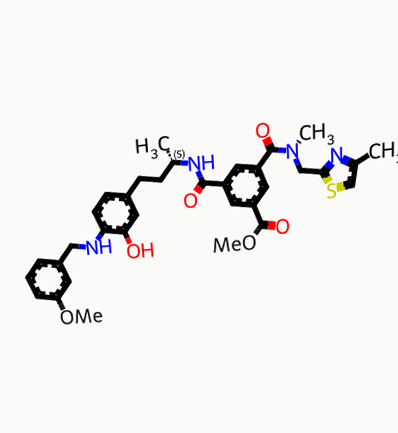 COC(=O)c1cc(C(=O)N[C@@H](C)CCc2ccc(NCc3cccc(OC)c3)c(O)c2)cc(C(=O)N(C)Cc2nc(C)cs2)c1